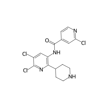 O=C(Nc1cc(Cl)c(Cl)nc1C1CCNCC1)c1ccnc(Cl)c1